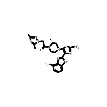 Cc1nc(C)n(CC(=O)N2CCN(c3sc(C(F)(F)F)nc3-c3nc4c(C(F)(F)F)cccc4[nH]3)C[C@H]2C)n1